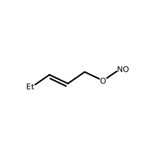 CCC=CCON=O